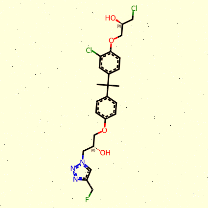 CC(C)(c1ccc(OC[C@H](O)Cn2cc(CF)nn2)cc1)c1ccc(OC[C@@H](O)CCl)c(Cl)c1